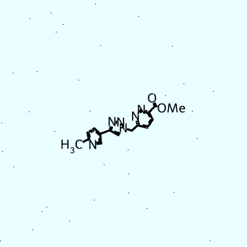 COC(=O)c1ccc(Cn2cc(-c3ccc(C)nc3)nn2)nn1